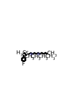 CC(C)=CCC/C(C)=C/CC/C(C)=C/CSC(C)(C)Sc1ccc(F)cc1